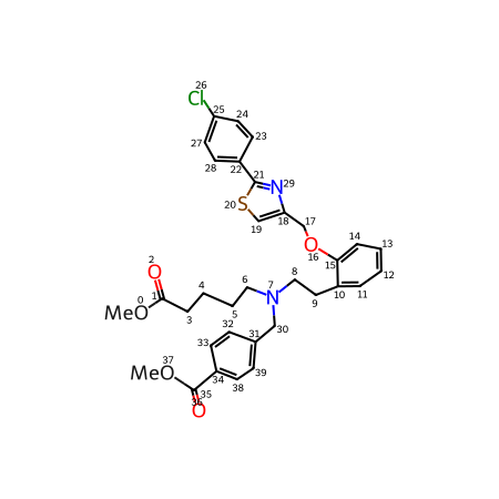 COC(=O)CCCCN(CCc1ccccc1OCc1csc(-c2ccc(Cl)cc2)n1)Cc1ccc(C(=O)OC)cc1